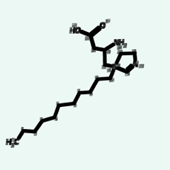 CCCCCCCCCCC[N+]1(CC(N)CC(=O)O)C=NCC1